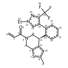 C=CC(=O)N1Cc2sc(C)cc2[C@H](c2ccccc2-c2cn(CC)nc2C(C)(F)F)C1